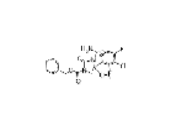 CC1(c2ccc(F)c(Cl)c2F)CN(C(=O)OCc2ccccc2)C(=O)N1C(N)=O